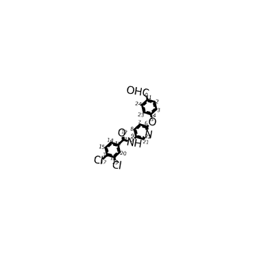 O=Cc1ccc(Oc2ccc(NC(=O)c3ccc(Cl)c(Cl)c3)cn2)cc1